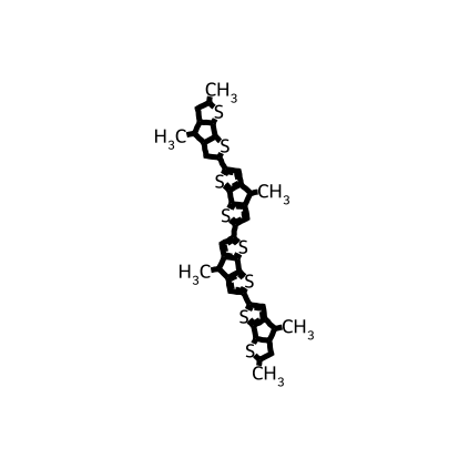 CC1CC2C(C)c3cc(-c4cc5c(s4)-c4sc(-c6cc7c(s6)-c6sc(C8CC9C(C)C%10CC(C)SC%10C9S8)cc6C7C)cc4C5C)sc3C2S1